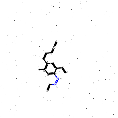 C=C=C/C=C\c1cc(C=C)c(/N=N\C=C)cc1C